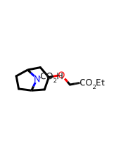 CCOC(=O)COC1CC2CCC(C1)N2C(=O)O